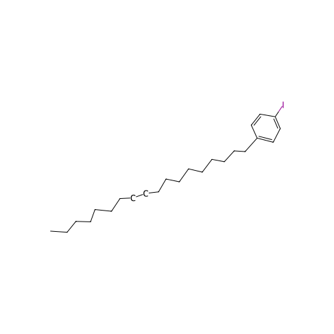 CCCCCCCCCCCCCCCCCCc1ccc(I)cc1